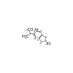 CCC1Cc2ccc(C(C)C(=O)O)cc2C1